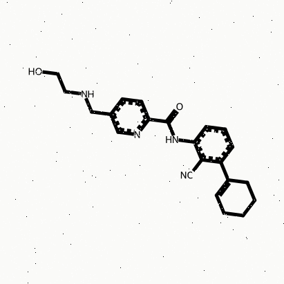 N#Cc1c(NC(=O)c2ccc(CNCCO)cn2)cccc1C1=CCCCC1